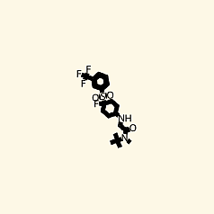 CN(C(=O)CNC1CCC(F)(S(=O)(=O)c2cccc(C(F)(F)F)c2)CC1)C(C)(C)C